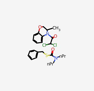 CC1COc2ccccc2N1C(=O)C(Cl)Cl.CCCN(CCC)C(=O)SCc1ccccc1